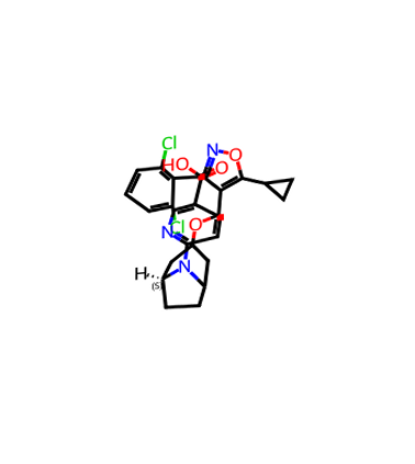 O=C(O)c1ccc(N2C3CC[C@H]2CC(OCc2c(-c4c(Cl)cccc4Cl)noc2C2CC2)C3)nc1